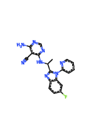 CC(Nc1ncnc(N)c1C#N)c1nc2ccc(F)cc2n1-c1ccccn1